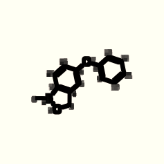 CB1OCc2cc(Oc3ccccc3)ccc21